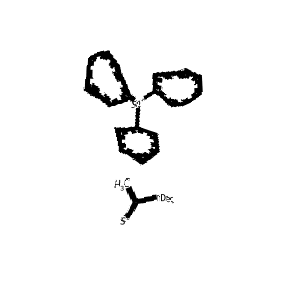 CCCCCCCCCCC(C)[S-].c1cc[c]([Sn+]([c]2ccccc2)[c]2ccccc2)cc1